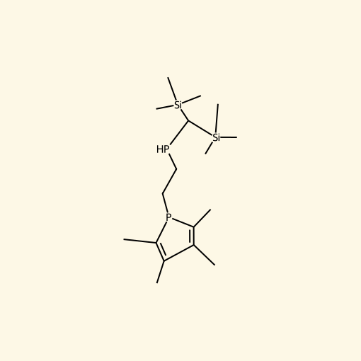 Cc1c(C)c(C)p(CCPC([Si](C)(C)C)[Si](C)(C)C)c1C